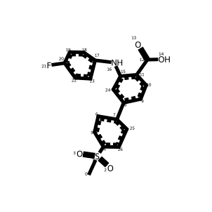 CS(=O)(=O)c1ccc(-c2ccc(C(=O)O)c(Nc3ccc(F)cc3)c2)cc1